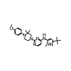 COc1ccc(N2CCN(c3nccc(Nc4cc(C(C)(C)C)nn4C)n3)CC2(C)C)cc1